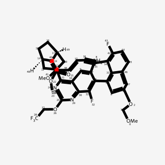 COCOc1cc(-c2c(N)cc3c(N4C[C@H]5CC[C@@H](C4)N5C(=O)OC(C)(C)C)nc(OCC(F)(F)F)nc3c2F)c2c(C#C/C=C/C(=O)OC)c(F)ccc2c1